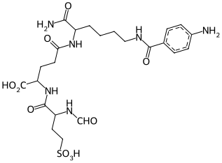 NC(=O)C(CCCCNC(=O)c1ccc(N)cc1)NC(=O)CCC(NC(=O)C(CCS(=O)(=O)O)NC=O)C(=O)O